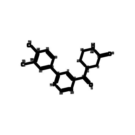 O=C1CN(C(=O)c2cc(-c3ccc(Cl)c(Cl)c3)ncn2)CCN1